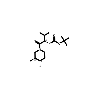 CC(C)[C@H](NC(=O)OC(C)(C)C)C(=O)N1CC[C@H](C)[C@@H](C)C1